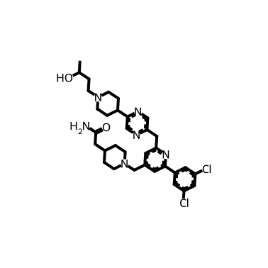 CC(O)CCN1CCC(c2cnc(Cc3cc(CN4CCC(CC(N)=O)CC4)cc(-c4cc(Cl)cc(Cl)c4)n3)cn2)CC1